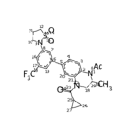 CC(=O)N1c2ccc(-c3cc(N4CCCS4(=O)=O)cc(C(F)(F)F)c3)cc2N(C(=O)C2CC2)CC1C